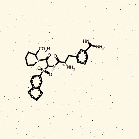 N=C(N)c1cccc(C[C@H](N)C(=O)NC(C(=O)N2CCCCC2C(=O)O)S(=O)(=O)c2ccc3ccccc3c2)c1